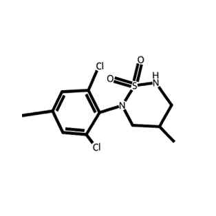 Cc1cc(Cl)c(N2CC(C)CNS2(=O)=O)c(Cl)c1